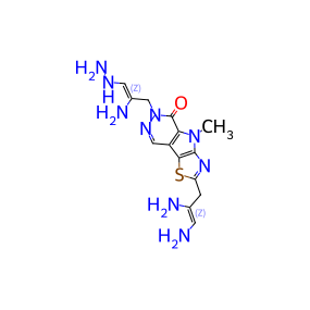 Cn1c2nc(C/C(N)=C/N)sc2c2cnn(C/C(N)=C/NN)c(=O)c21